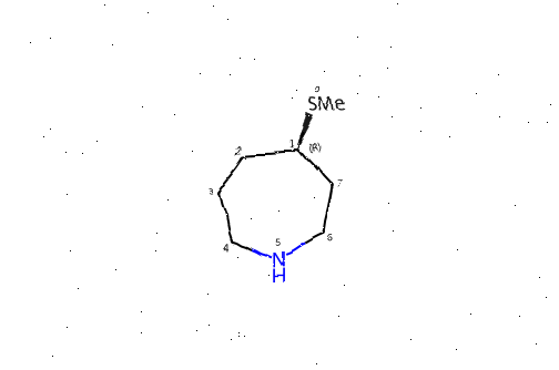 CS[C@@H]1CCCNCC1